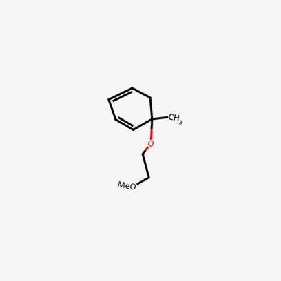 COCCOC1(C)C=CC=CC1